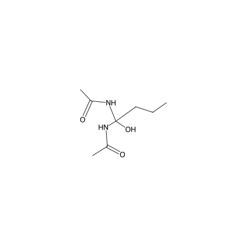 CCCC(O)(NC(C)=O)NC(C)=O